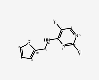 Fc1cnc(Cl)nc1NCc1ccco1